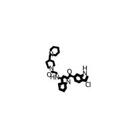 O=C(c1ccc2c(Cl)c[nH]c2c1)c1cc(NCC(=O)N2CCC(CN3CCCCC3)CC2)c2ccccc2n1